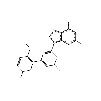 COC1=C(C2=CC(N)NC(c3c[nH]c4c(F)cc(F)cc34)=N2)CC(C)C=C1